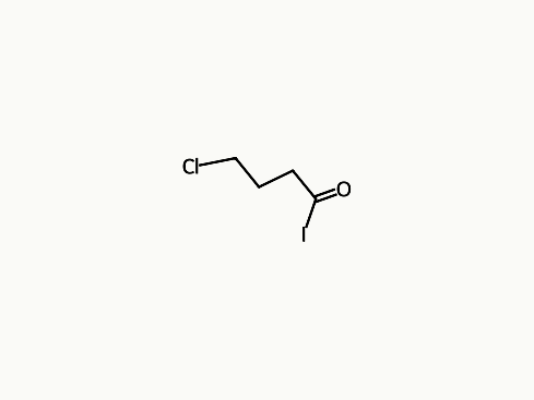 O=C(I)CCCCl